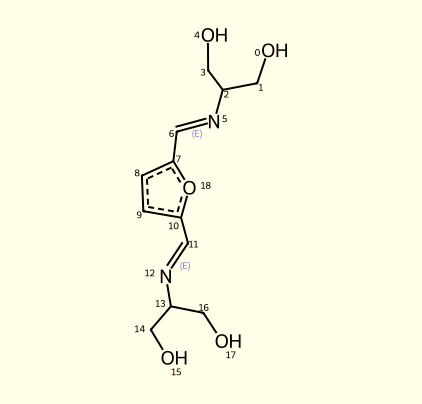 OCC(CO)/N=C/c1ccc(/C=N/C(CO)CO)o1